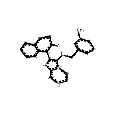 COc1cccc(CNc2c(-c3c(O)ccc4ccccc34)nc3cnccn23)c1